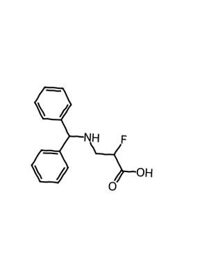 O=C(O)C(F)CNC(c1ccccc1)c1ccccc1